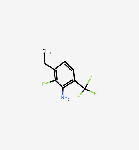 CCc1ccc(C(F)(F)F)c(N)c1F